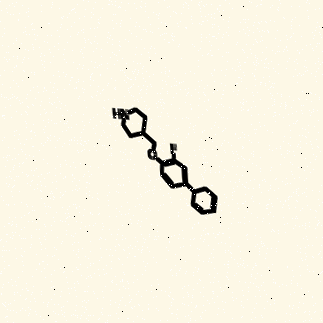 Fc1cc(C2C=CC=CC2)ccc1OCC1CCNCC1